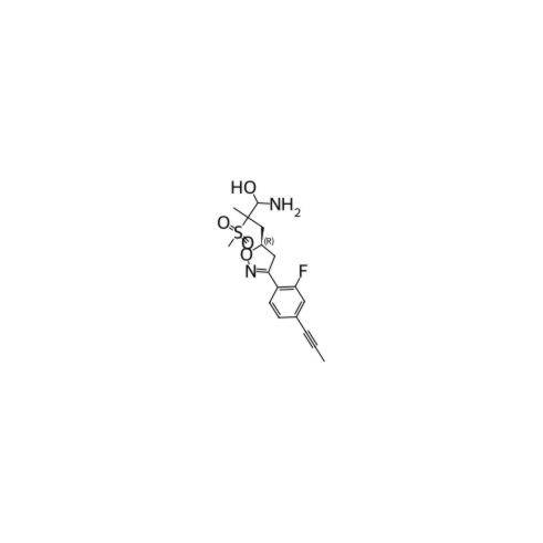 CC#Cc1ccc(C2=NO[C@@H](CC(C)(C(N)O)S(C)(=O)=O)C2)c(F)c1